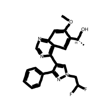 COc1cc2ncnc(-c3cn(CC(F)F)nc3-c3ccccc3)c2cc1[C@@H](C)O